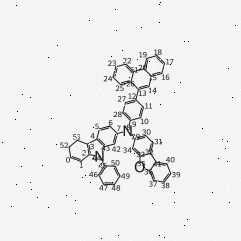 C1=Cc2c(c3ccc(N(c4ccc(-c5cc6ccccc6c6ccccc56)cc4)c4ccc5c(c4)oc4ccccc45)cc3n2-c2ccccc2)CC1